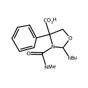 CCCCC1OCC(C(=O)O)(c2ccccc2)N1C(=O)NC